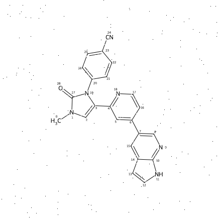 Cn1cc(-c2cc(-c3cnc4[nH]ccc4c3)ccn2)n(-c2ccc(C#N)cc2)c1=O